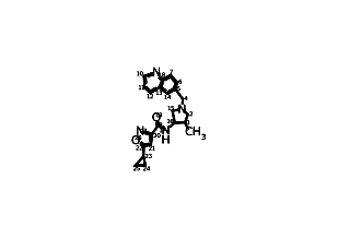 CC1CN(Cc2ccc3ncccc3c2)CC1NC(=O)c1cc(C2CC2)on1